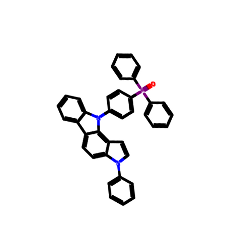 O=P(c1ccccc1)(c1ccccc1)c1ccc(-n2c3ccccc3c3ccc4c(ccn4-c4ccccc4)c32)cc1